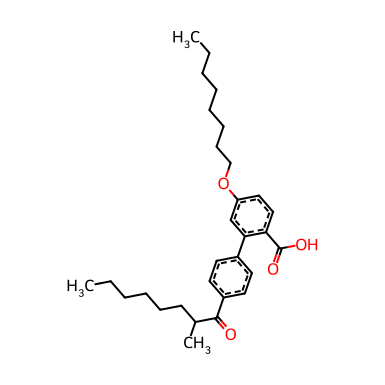 CCCCCCCCOc1ccc(C(=O)O)c(-c2ccc(C(=O)C(C)CCCCCC)cc2)c1